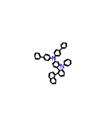 c1ccc(-c2ccc(N(c3ccc(-c4ccccc4)cc3)c3ccc4c5c(-c6cccc7ccccc67)cccc5n(-c5ccccc5)c4c3)cc2)cc1